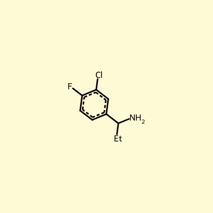 CCC(N)c1ccc(F)c(Cl)c1